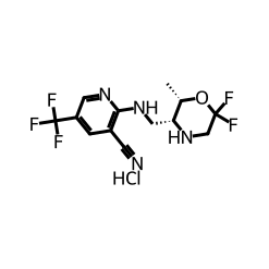 C[C@@H]1OC(F)(F)CN[C@@H]1CNc1ncc(C(F)(F)F)cc1C#N.Cl